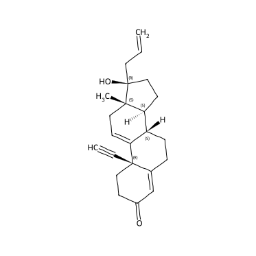 C#C[C@]12CCC(=O)C=C1CC[C@@H]1C2=CC[C@@]2(C)[C@H]1CC[C@@]2(O)CC=C